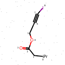 CC(C)CC(=O)OCC#CI